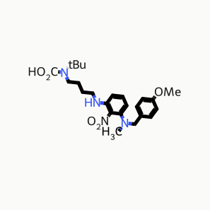 COc1ccc(CN(C)c2cccc(NCCCCN(C(=O)O)C(C)(C)C)c2[N+](=O)[O-])cc1